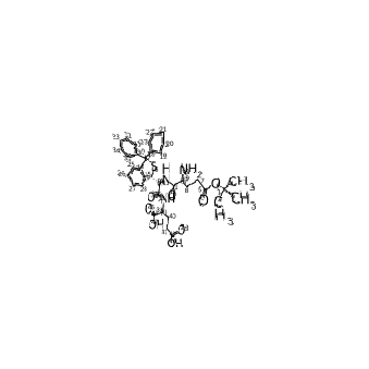 CC(C)(C)OC(=O)CC[C@H](N)C(=O)N[C@@H](CSC(c1ccccc1)(c1ccccc1)c1ccccc1)C(=O)N[C@@H](CCC(=O)O)C(=O)O